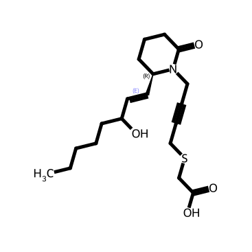 CCCCCC(O)/C=C/[C@H]1CCCC(=O)N1CC#CCSCC(=O)O